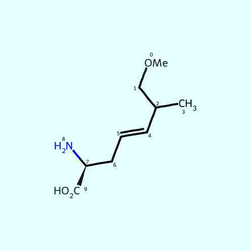 COCC(C)/C=C/C[C@H](N)C(=O)O